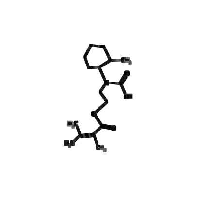 CC(C)=C(C)C(=O)OCCN(C(=O)O)C1CCCCC1C